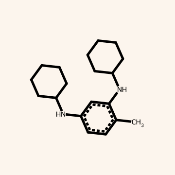 Cc1ccc(NC2CCCCC2)cc1NC1CCCCC1